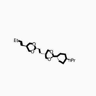 CCC=C[C@H]1CO[C@H](CC[C@H]2CO[C@H]([C@H]3CC[C@H](CCC)CC3)OC2)OC1